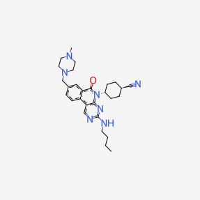 CCCCNc1ncc2c3ccc(CN4CCN(C)CC4)cc3c(=O)n([C@H]3CC[C@H](C#N)CC3)c2n1